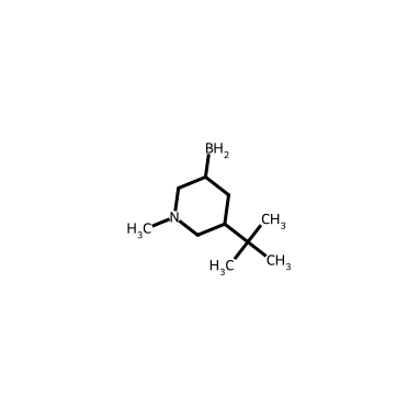 BC1CC(C(C)(C)C)CN(C)C1